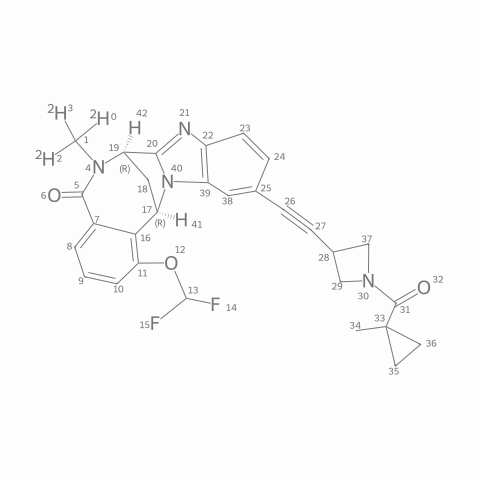 [2H]C([2H])([2H])N1C(=O)c2cccc(OC(F)F)c2[C@H]2C[C@@H]1c1nc3ccc(C#CC4CN(C(=O)C5(C)CC5)C4)cc3n12